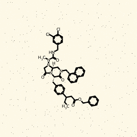 CCC(CC(=O)OCc1ccccc1)c1ccc(C[C@H]2C(=O)N(Cc3cccc4ccccc34)C[C@H]3N2C(=O)CN3N(C)C(=O)NCc2ccc(Cl)c(Cl)c2)cc1